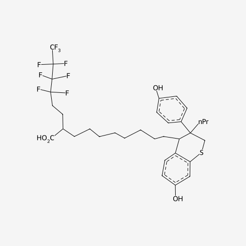 CCCC1(c2ccc(O)cc2)CSc2cc(O)ccc2C1CCCCCCCCC(CCC(F)(F)C(F)(F)C(F)(F)C(F)(F)F)C(=O)O